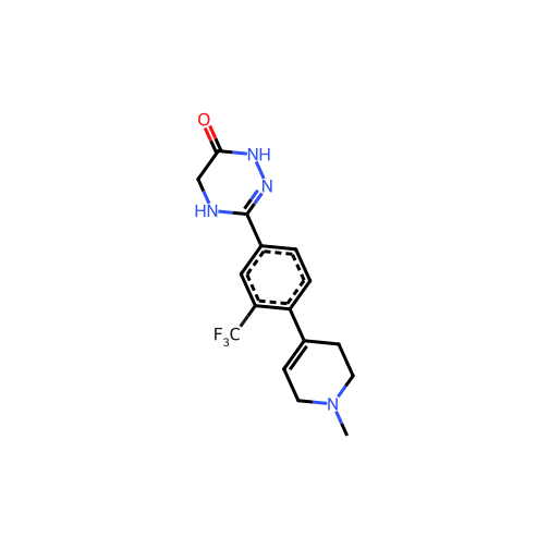 CN1CC=C(c2ccc(C3=NNC(=O)CN3)cc2C(F)(F)F)CC1